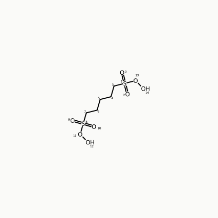 O=S(=O)(CCCCCS(=O)(=O)OO)OO